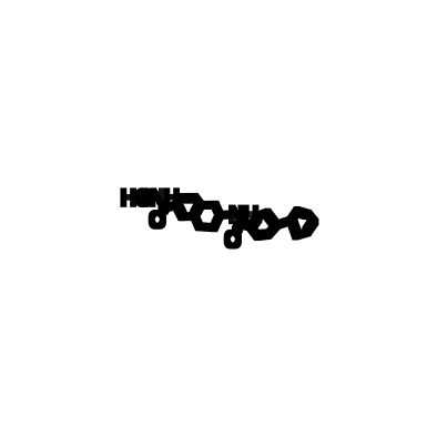 O=C(NO)c1ccc2c(c1)CCC(NC(=O)c1ccc(-c3ccccc3)cc1)C2